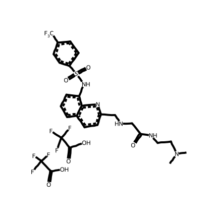 CN(C)CCNC(=O)CNCc1ccc2cccc(NS(=O)(=O)c3ccc(C(F)(F)F)cc3)c2n1.O=C(O)C(F)(F)F.O=C(O)C(F)(F)F